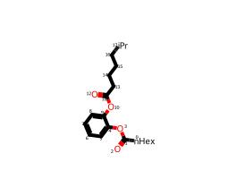 CCCCCCC(=O)Oc1ccccc1OC(=O)CCCCC(C)C